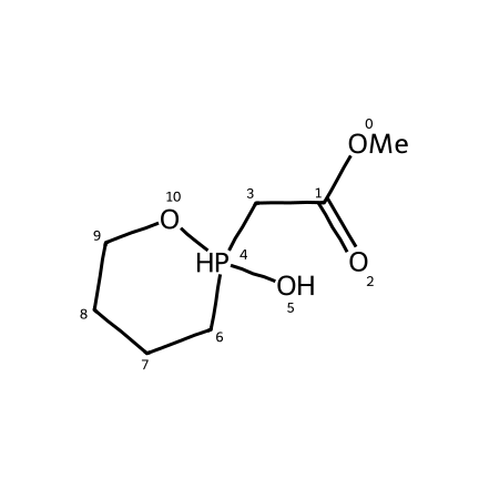 COC(=O)C[PH]1(O)CCCCO1